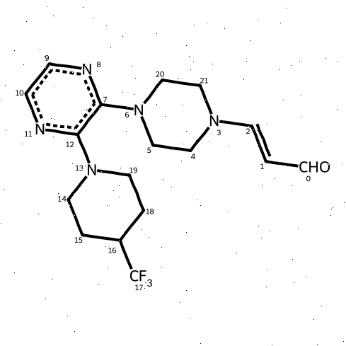 O=CC=CN1CCN(c2nccnc2N2CCC(C(F)(F)F)CC2)CC1